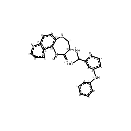 CN1C(=O)[C@@H](NC(O)c2cc(Nc3ccccc3)ccn2)COc2ccc3ncccc3c21